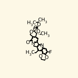 CCc1c2c(nc3cc(F)c4c(c13)OCCO4)-c1cc3c(c(=O)n1C2)COC(=O)[C@@]3(CC)OC(=O)OC(C)C